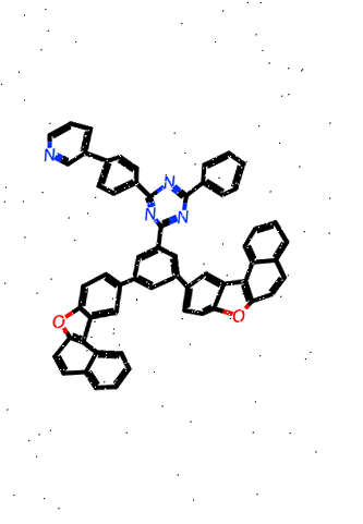 c1ccc(-c2nc(-c3ccc(-c4cccnc4)cc3)nc(-c3cc(-c4ccc5oc6ccc7ccccc7c6c5c4)cc(-c4ccc5oc6ccc7ccccc7c6c5c4)c3)n2)cc1